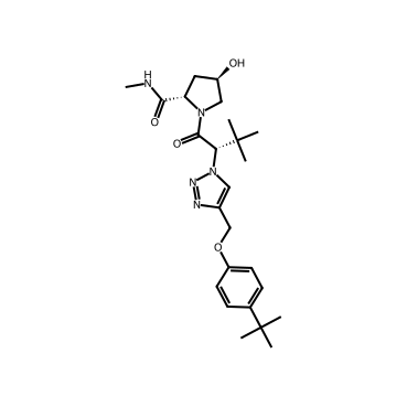 CNC(=O)[C@@H]1C[C@@H](O)CN1C(=O)[C@@H](n1cc(COc2ccc(C(C)(C)C)cc2)nn1)C(C)(C)C